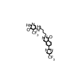 CC(CCCn1ncc2cc(-c3ncc(C(F)(F)F)cn3)ccc2c1=O)Nc1cn[nH]c(=O)c1C(F)(F)F